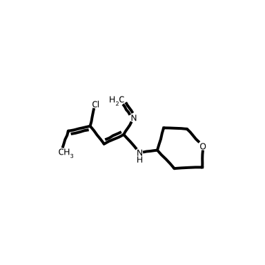 C=N/C(=C\C(Cl)=C/C)NC1CCOCC1